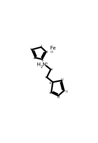 C1=CCC=C1.NCCC1C=CC=C1.[Fe]